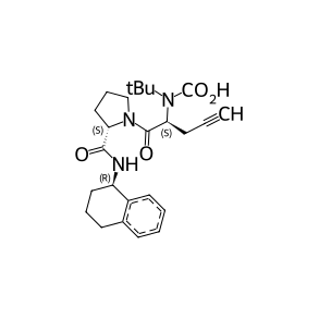 C#CC[C@@H](C(=O)N1CCC[C@H]1C(=O)N[C@@H]1CCCc2ccccc21)N(C(=O)O)C(C)(C)C